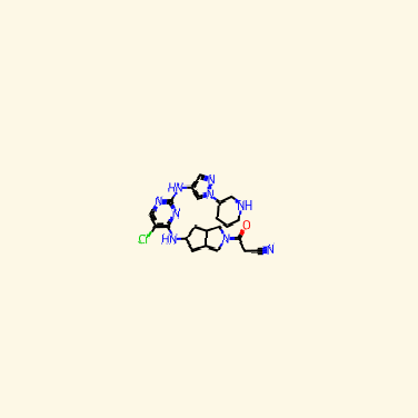 N#CCC(=O)N1CC2CC(Nc3nc(Nc4cnn(C5CCCNC5)c4)ncc3Cl)CC2C1